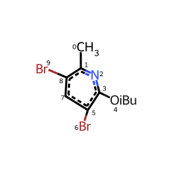 Cc1nc(OCC(C)C)c(Br)cc1Br